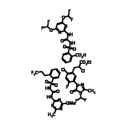 CCOC(=O)C(Cl)Cc1cc(-n2nc(C)n(C(F)F)c2=O)c(F)cc1Cl.COc1nc(C)nc(NC(=O)NS(=O)(=O)c2ccccc2CCC(F)(F)F)n1.O=C(Nc1nc(OC(F)F)cc(OC(F)F)n1)NS(=O)(=O)c1ccccc1C(=O)O